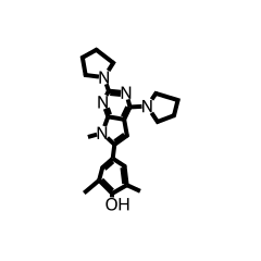 Cc1cc(-c2cc3c(N4CCCC4)nc(N4CCCC4)nc3n2C)cc(C)c1O